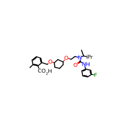 Cc1cccc(CO[C@@H]2CCC[C@H](OCCN(C(=O)Nc3cccc(F)c3)C(C)C(C)C)C2)c1C(=O)O